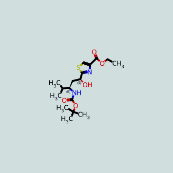 CCOC(=O)c1csc([C@@H](O)C[C@@H](NC(=O)OC(C)(C)C)C(C)C)n1